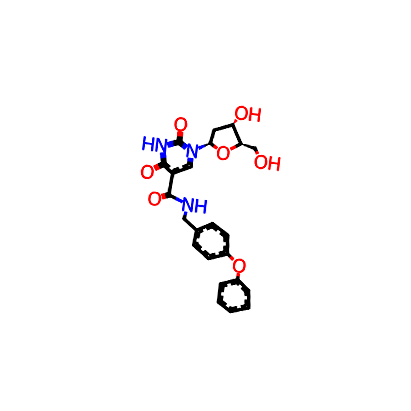 O=C(NCc1ccc(Oc2ccccc2)cc1)c1cn([C@H]2C[C@H](O)[C@@H](CO)O2)c(=O)[nH]c1=O